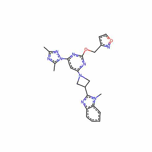 Cc1nc(C)n(-c2cc(N3CC(c4nc5ccccc5n4C)C3)nc(OCc3ccon3)n2)n1